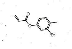 C=CC(=O)Oc1ccc(C)c(CC)c1